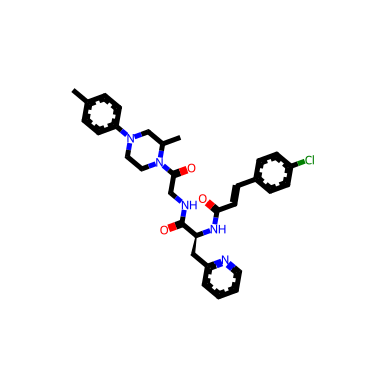 Cc1ccc(N2CCN(C(=O)CNC(=O)[C@H](Cc3ccccn3)NC(=O)C=Cc3ccc(Cl)cc3)C(C)C2)cc1